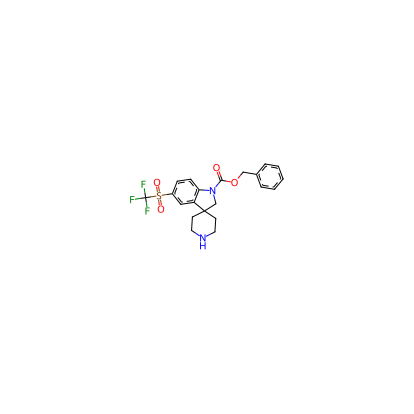 O=C(OCc1ccccc1)N1CC2(CCNCC2)c2cc(S(=O)(=O)C(F)(F)F)ccc21